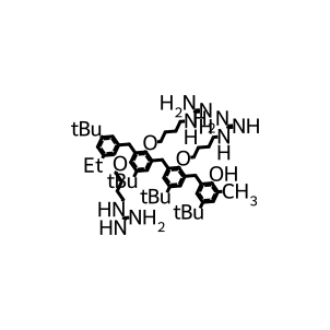 CCc1cc(C(C)(C)C)cc(Cc2cc(C(C)(C)C)cc(Cc3cc(C(C)(C)C)cc(Cc4cc(C(C)(C)C)cc(C)c4O)c3OCCCCNC(=N)N)c2OCCCCNC(=N)N)c1OCCCCNC(=N)N